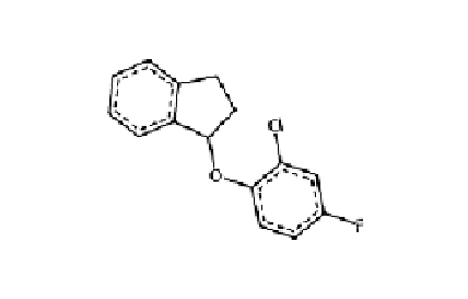 Fc1ccc(OC2CCc3ccccc32)c(Cl)c1